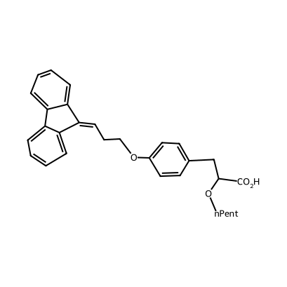 CCCCCOC(Cc1ccc(OCCC=C2c3ccccc3-c3ccccc32)cc1)C(=O)O